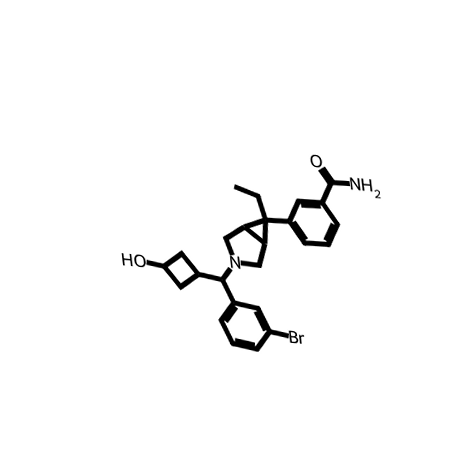 CCC1(c2cccc(C(N)=O)c2)C2CN(C(c3cccc(Br)c3)C3CC(O)C3)CC21